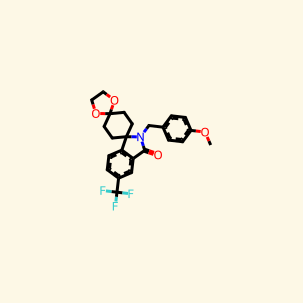 COc1ccc(CN2C(=O)c3cc(C(F)(F)F)ccc3C23CCC2(CC3)OCCO2)cc1